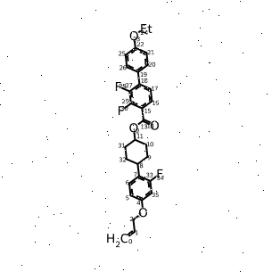 C=CCOc1ccc(C2CCC(OC(=O)c3ccc(-c4ccc(OCC)cc4)c(F)c3F)CC2)c(F)c1